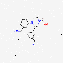 NCc1cccc(C2CN(C(=O)O)CCN2c2cccc(CN)c2)c1